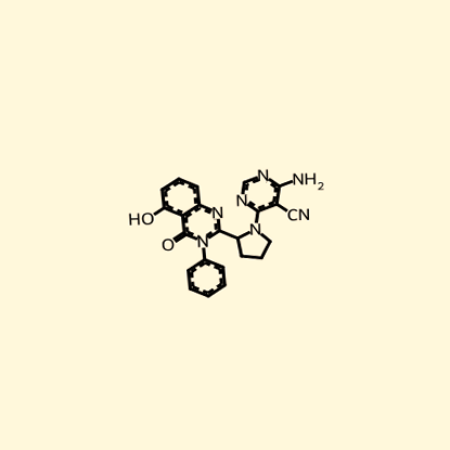 N#Cc1c(N)ncnc1N1CCCC1c1nc2cccc(O)c2c(=O)n1-c1ccccc1